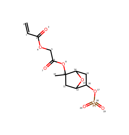 C=CC(=O)OCC(=O)OC1(C)CC2OC1CC2O[SH](=O)=O